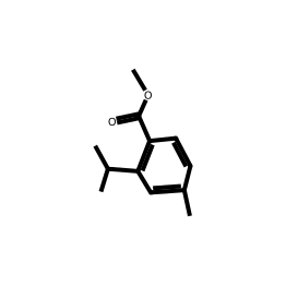 COC(=O)c1ccc(C)cc1C(C)C